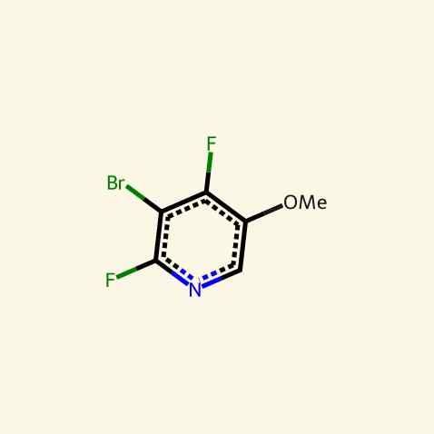 COc1cnc(F)c(Br)c1F